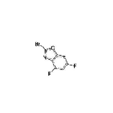 Fc1cc(F)c2nc(Br)oc2c1